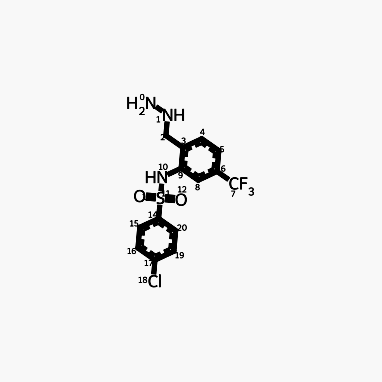 NNCc1ccc(C(F)(F)F)cc1NS(=O)(=O)c1ccc(Cl)cc1